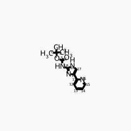 CC(C)(C)OC(=O)Nc1nc(-c2ccccn2)c[nH]1